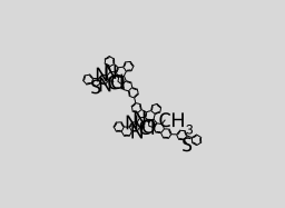 CC1c2c(oc3c2c2ccccc2c2c4cc(-c5ccc6cc7c(cc6c5)oc5c7c6ccccc6c6c7ccccc7n(-c7nc8c(nc7Cl)sc7ccccc78)c56)ccc4n(-c4nc5c(ccc6ccccc65)nc4Cl)c32)C=C2C=CC(c3ccc4c(c3)sc3ccccc34)=CC21